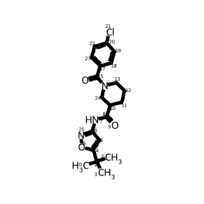 CC(C)(C)c1cc(NC(=O)C2CCCN(C(=O)c3ccc(Cl)cc3)C2)no1